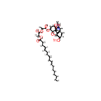 CCCCCCCCCCCCCCCCCC(=O)O[C@@H](C)C(=O)O[C@@H](C)C(=O)OC1=CC[C@@]2(O)[C@H]3Cc4ccc(O)c5c4C2(CCN3C)C1O5